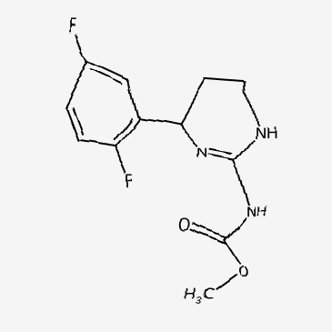 COC(=O)NC1=NC(c2cc(F)ccc2F)CCN1